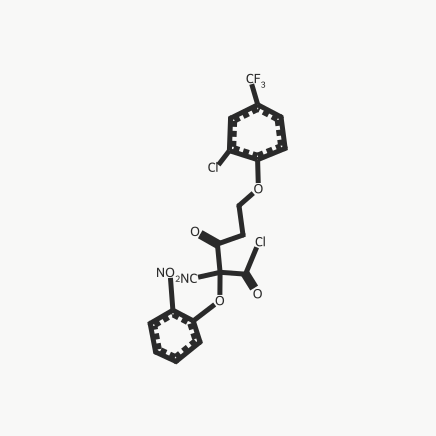 N#CC(Oc1ccccc1[N+](=O)[O-])(C(=O)Cl)C(=O)CCOc1ccc(C(F)(F)F)cc1Cl